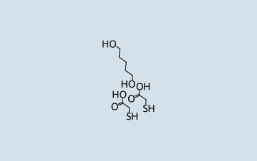 O=C(O)CS.O=C(O)CS.OCCCCCO